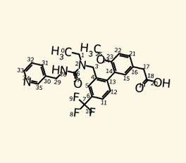 CCN(Cc1cc(C(F)(F)F)ccc1-c1cc(CC(=O)O)ccc1OC)C(=O)NCc1cccnc1